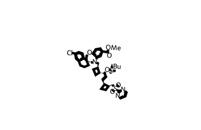 COC(=O)c1ccc2c(c1)N(C[C@@H]1CC[C@H]1C(/C=C/[C@@H]1CC[C@H]1CS(=O)(=O)c1ncccn1)O[Si](C)(C)C(C)(C)C)C[C@@]1(CCCc3cc(Cl)ccc31)CO2